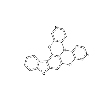 c1ccc2c(c1)oc1cc3c4c(c12)Oc1cnccc1N4c1ccncc1O3